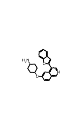 N[C@H]1CC[C@@H](Oc2ccc3cncc(-c4cc5ccccc5o4)c3c2)CC1